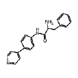 NC(Cc1ccccc1)C(=O)Nc1ccc(-c2ccncc2)cc1